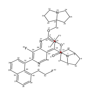 CC(C)(C)OC(=O)N1C2CCC1CN(c1nc(OCC34CCCN3CCC4)nc3c(F)c(-c4cccc5cccc(CCF)c45)ncc13)C2